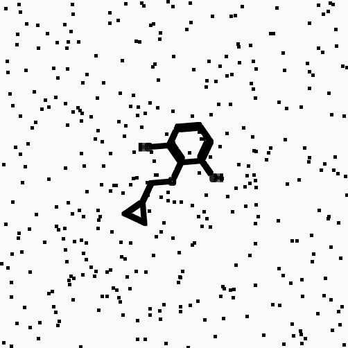 Oc1cccc(O)c1OCC1CC1